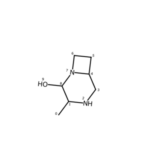 CC1NCC2CCN2C1O